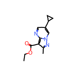 CCOC(=O)c1c(C)nn2cc(C3CC3)cnc12